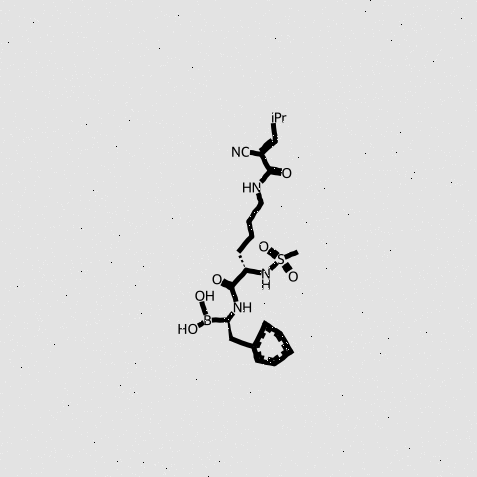 CC(C)/C=C(\C#N)C(=O)NCCCC[C@H](NS(C)(=O)=O)C(=O)N[C@@H](Cc1ccccc1)B(O)O